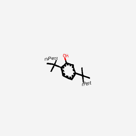 CCCCCC(C)(C)c1ccc(C(C)(C)CCCCC)c(O)c1